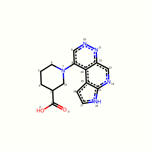 O=C(O)C1CCCN(c2cnnc3cnc4[nH]ccc4c23)C1